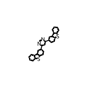 c1ccc2c(c1)sc1ccc(-c3cc(-c4ccc5sc6ccccc6c5c4)ncn3)cc12